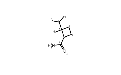 CC(C)C1(C)CCC1C(N)=O